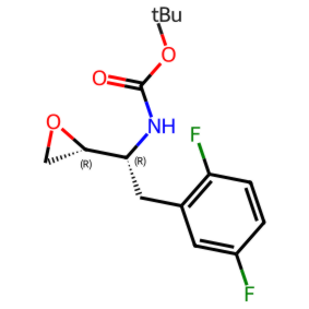 CC(C)(C)OC(=O)N[C@H](Cc1cc(F)ccc1F)[C@@H]1CO1